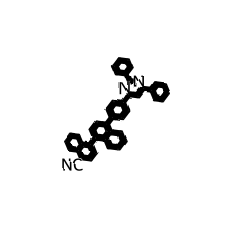 N#Cc1ccc(-c2ccc(-c3ccc(-c4cc(-c5ccccc5)nc(-c5ccccc5)n4)cc3)c3ccccc23)c2ccccc12